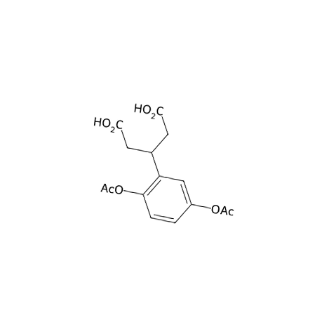 CC(=O)Oc1ccc(OC(C)=O)c(C(CC(=O)O)CC(=O)O)c1